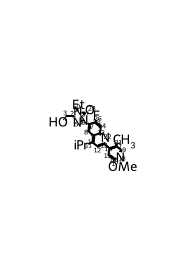 CCn1c(CO)nn(-c2cc3c(C(C)C)cc(-c4cc(OC)ncc4C)nc3cc2F)c1=O